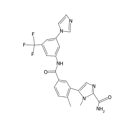 Cc1ccc(C(=O)Nc2cc(-n3ccnc3)cc(C(F)(F)F)c2)cc1-c1cnc(C(N)=O)n1C